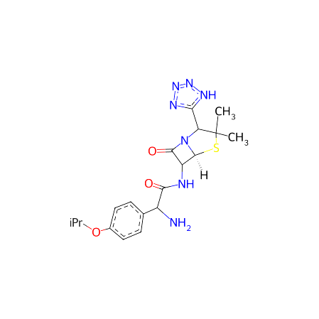 CC(C)Oc1ccc(C(N)C(=O)NC2C(=O)N3C(c4nnn[nH]4)C(C)(C)S[C@@H]23)cc1